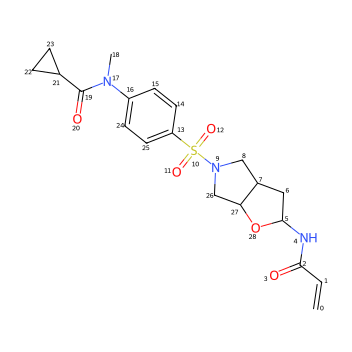 C=CC(=O)NC1CC2CN(S(=O)(=O)c3ccc(N(C)C(=O)C4CC4)cc3)CC2O1